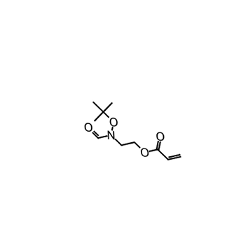 C=CC(=O)OCCN(C=O)OC(C)(C)C